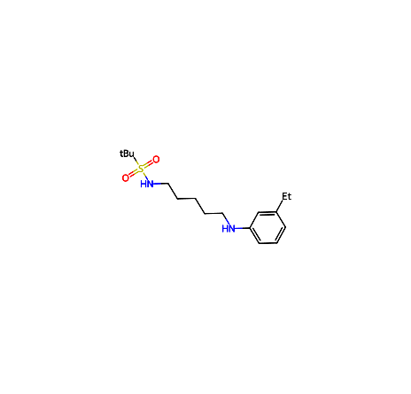 CCc1cccc(NCCCCCNS(=O)(=O)C(C)(C)C)c1